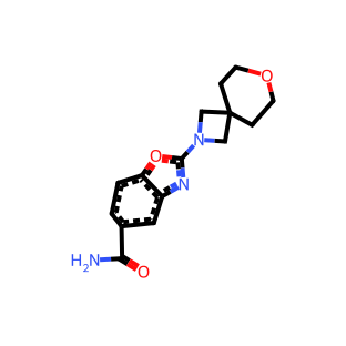 NC(=O)c1ccc2oc(N3CC4(CCOCC4)C3)nc2c1